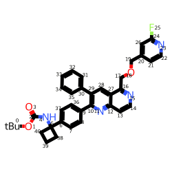 CC(C)(C)OC(=O)NC1(c2ccc(-c3nc4ccnc(COCc5ccnc(F)c5)c4cc3-c3ccccc3)cc2)CCC1